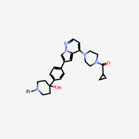 CC(C)N1CCC(O)(c2ccc(-c3cc4c(N5CCN(C(=O)C6CC6)CC5)ccnn4c3)cc2)CC1